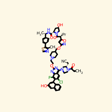 C=CC(=O)N1CCN(c2nc(OCCN3CCC(COc4cc([C@@H](C(=O)N5C[C@@H](O)C[C@H]5C(=O)N[C@@H](C)c5ccc(-c6scnc6C)cc5)C(C)C)on4)CC3)nc3c(F)c(-c4cc(O)cc5ccccc45)c(Cl)cc23)C[C@@H]1CC#N